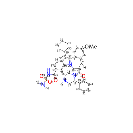 COc1ccc2c(c1)C1C[C@]1(C(=O)N1CCN(C)CC1c1ccccc1)Cn1c-2c(C2CCCCC2)c2ccc(C(=O)NS(=O)(=O)N(C)C)cc21